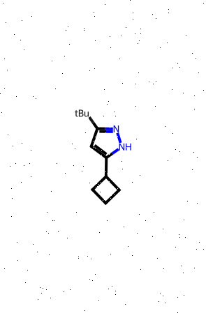 CC(C)(C)c1cc(C2CCC2)[nH]n1